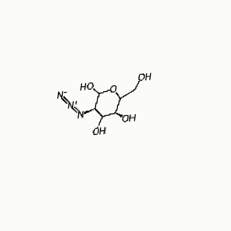 [N-]=[N+]=N[C@H]1C(O)OC(CO)[C@@H](O)C1O